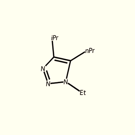 CCCc1c(C(C)C)nnn1CC